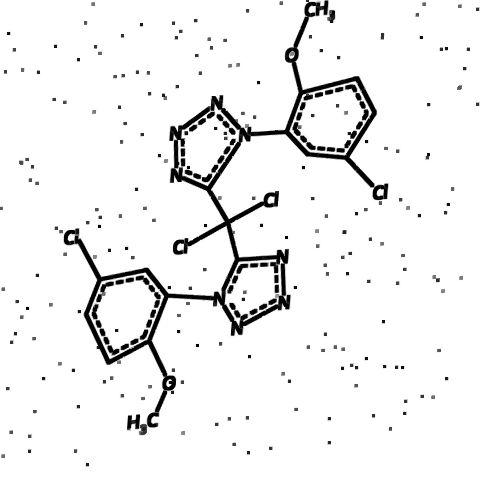 COc1ccc(Cl)cc1-n1nnnc1C(Cl)(Cl)c1nnnn1-c1cc(Cl)ccc1OC